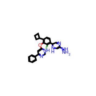 NNC1=CNC(c2ccc(C3CCC3)c(OC3=CC(c4ccccc4)=NCN3)c2F)C=N1